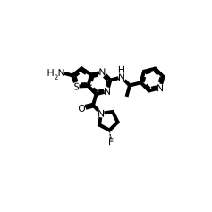 CC(Nc1nc(C(=O)N2CC[C@H](F)C2)c2sc(N)cc2n1)c1cccnc1